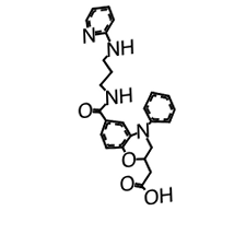 O=C(O)CC1CN(c2ccccc2)c2cc(C(=O)NCCCNc3ccccn3)ccc2O1